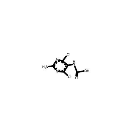 Nc1nc(Cl)c(NC(=O)O)c(Cl)n1